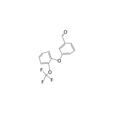 O=Cc1cccc(Oc2ccccc2OC(F)(F)F)c1